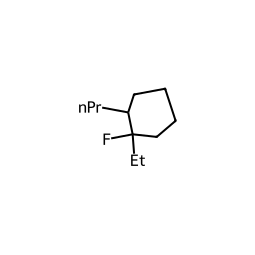 CCCC1CCCCC1(F)CC